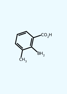 Bc1c(C)cccc1C(=O)O